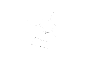 C1CC2CCC12.COc1cc(N)nc(N)n1